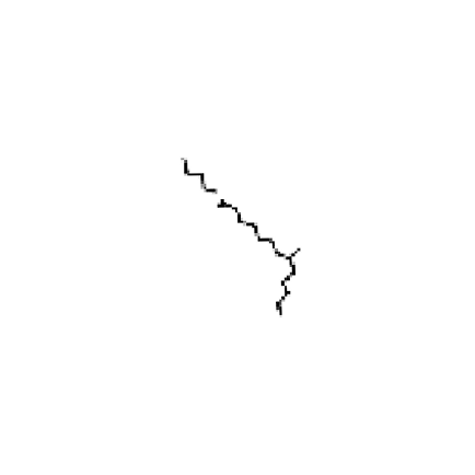 CCCCCC(C)CCCCCCC(=O)NCCCC